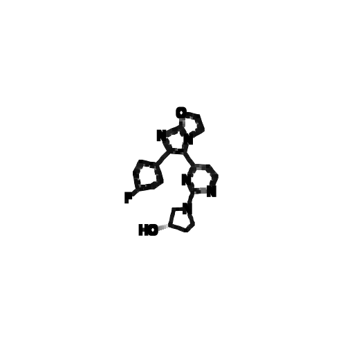 O[C@H]1CCN(c2nccc(-c3c(-c4ccc(F)cc4)nc4occn34)n2)C1